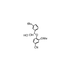 COc1cc(C#N)ccc1OCc1cccc(C(C)(C)C)c1.Cl.Cl